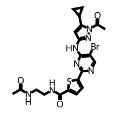 CC(=O)NCCNC(=O)c1ccc(-c2ncc(Br)c(Nc3cc(C4CC4)n(C(C)=O)n3)n2)s1